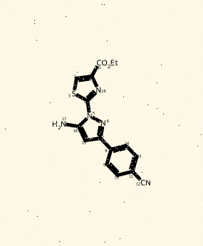 CCOC(=O)c1csc(-n2nc(-c3ccc(C#N)cc3)cc2N)n1